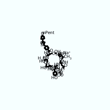 CCCCCOc1ccc(-c2cc(-c3ccc(C(=O)N[C@H]4CC[C@@H](O)NC(=O)[C@@H]5[C@@H](O)[C@@H](C)CN5C(=O)[C@H]([C@H](O)CC(N)=O)NC(=O)[C@H]([C@H](O)[C@@H](O)c5ccc(O)c(OS(=O)(=O)[O-])c5)NC(=O)[C@@H]5C[C@@H](O)CN5C(=O)[C@H]([C@@H](C)O)NC4=O)cc3)no2)cc1.[Na+]